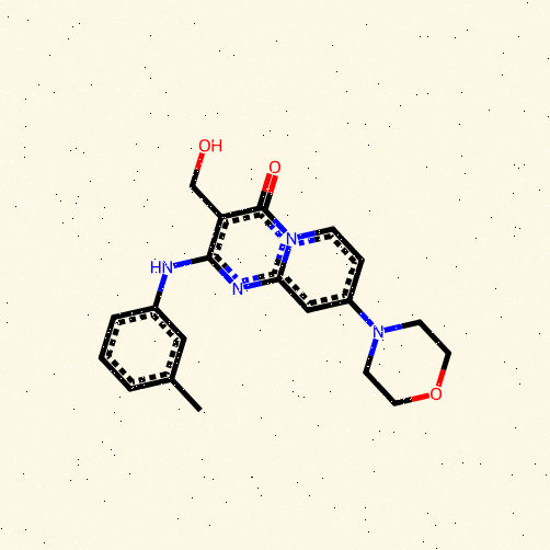 Cc1cccc(Nc2nc3cc(N4CCOCC4)ccn3c(=O)c2CO)c1